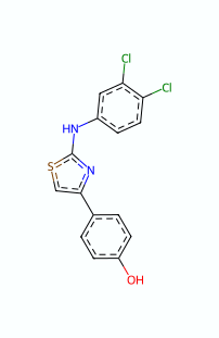 Oc1ccc(-c2csc(Nc3ccc(Cl)c(Cl)c3)n2)cc1